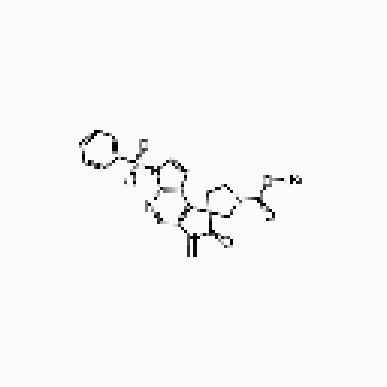 CC(C)(C)OC(=O)N1CCC2(C1)C(=O)Nc1cnc3c(ccn3S(=O)(=O)c3ccccc3)c12